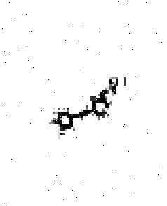 O/N=C/c1cncc(C#Cc2ccc(F)c(F)c2)c1